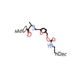 CCCCCCCCCCCCNC(=O)OCc1ccc(/C=N/C(C)C(=O)OC)o1